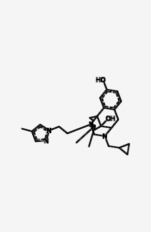 Cc1cnn(CCN2CCC34CCN(CC5CC5)C(Cc5ccc(O)cc53)C4(O)CC2(C)C)c1